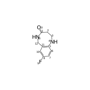 O=C1CCNc2ccc(F)cc2CN1